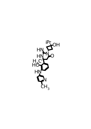 Cc1ccc(Nc2cccc([C@]3(C)CC(=O)N([C@H]4C[C@](O)(C(C)C)C4)C(=N)N3)c2O)cn1